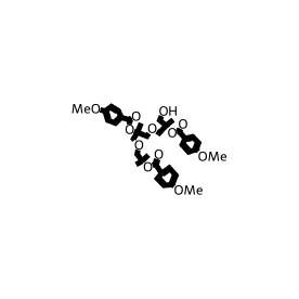 COc1ccc(C(=O)OC(C)(C)COCC(C)(COCC(C)(CO)OC(=O)c2ccc(OC)cc2)OC(=O)c2ccc(OC)cc2)cc1